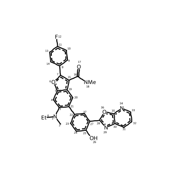 CCN(C)c1cc2oc(-c3ccc(F)cc3)c(C(=O)NC)c2cc1-c1ccc(O)c(-c2nc3cccnc3o2)c1